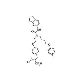 CCOC(Cc1ccc(OCCN(CCCCOc2ccc(F)cc2)C(=O)Nc2ccc3c(c2)CCC3)cc1)C(=O)O